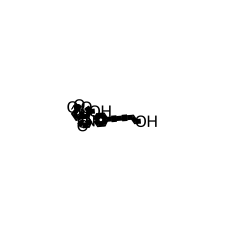 CO[C@@]1([C@@H](C(=O)O)N(C=O)c2ccc(C#CC#CCCO)cc2)CCS(=O)(=O)C1